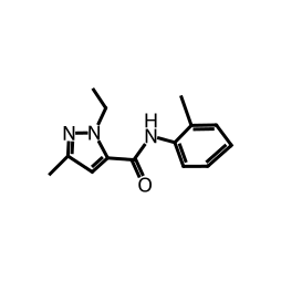 CCn1nc(C)cc1C(=O)Nc1ccccc1C